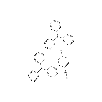 CC(C)(C)C1CC=[C]([Pd][Cl])CC1.c1ccc(P(c2ccccc2)c2ccccc2)cc1.c1ccc(P(c2ccccc2)c2ccccc2)cc1